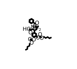 CCCCCOC(=O)Oc1ccc(C(CC(C)OC(=O)c2ccccc2)[C@H](N)C(=O)O)cc1OC(=O)OCCCCC